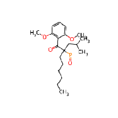 CCCCCCC(CC(C)C)(P=O)C(=O)c1c(OC)cccc1OC